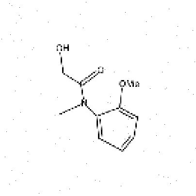 COc1ccccc1N(C)C(=O)CO